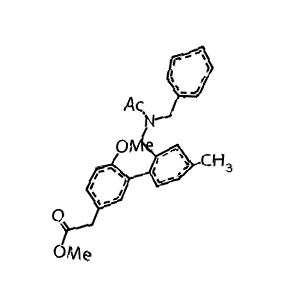 COC(=O)Cc1ccc(OC)c(-c2ccc(C)cc2CN(Cc2ccccc2)C(C)=O)c1